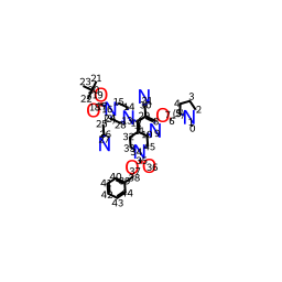 CN1CCC[C@H]1COc1nc2c(c(N3CCN(C(=O)OC(C)(C)C)[C@@H](CC#N)C3)c1C#N)CCN(C(=O)OCc1ccccc1)C2